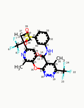 Cc1nc(C2(C(F)(F)F)CCC2)cc(F)c1Oc1nnc(C(F)(F)F)c(C)c1C(=O)Nc1cccc(S(C)(=O)=O)c1